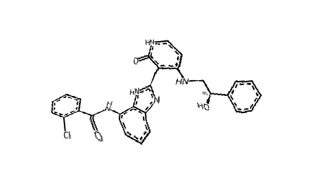 O=C(Nc1cccc2nc(-c3c(NC[C@H](O)c4ccccc4)cc[nH]c3=O)[nH]c12)c1ccccc1Cl